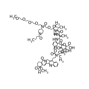 CCCC(=O)N1CCC(N(CCOCCOCCOCCOC)C(=O)COCC(=O)N[C@H](C(=O)N[C@@H](C)C(=O)Nc2ccc(COC(=O)N(CCc3c4c(nc5ccccc35)-c3cc5c(c(=O)n3C4)CCC(=O)[C@]5(O)CC)C(C)C)cc2O[C@@H]2O[C@H](C(=O)O)[C@@H](O)[C@H](O)[C@H]2O)C(C)C)CC1